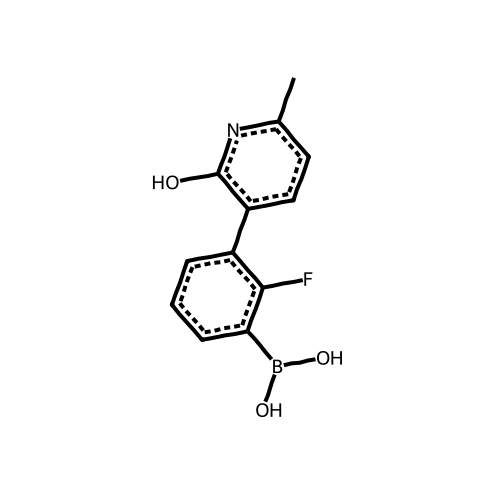 Cc1ccc(-c2cccc(B(O)O)c2F)c(O)n1